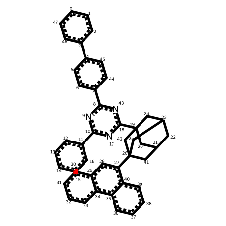 c1ccc(-c2ccc(-c3nc(-c4ccccc4)nc(C45CC6CC(C4)CC(c4cc7ccccc7c7ccccc47)(C6)C5)n3)cc2)cc1